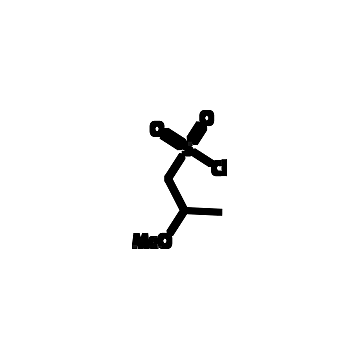 COC(C)CS(=O)(=O)Cl